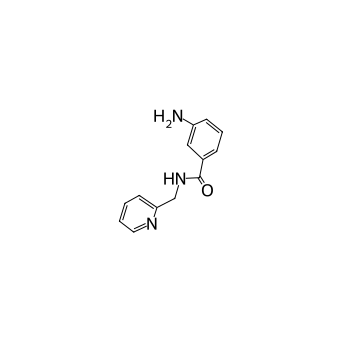 Nc1cccc(C(=O)NCc2ccccn2)c1